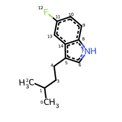 CC(C)CCc1c[nH]c2ccc(F)cc12